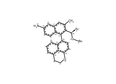 CC(=O)[C@@H](OC(C)(C)C)c1c(C)cc2nc(N)ccc2c1-c1ccc2c3c(ccnc13)CCO2